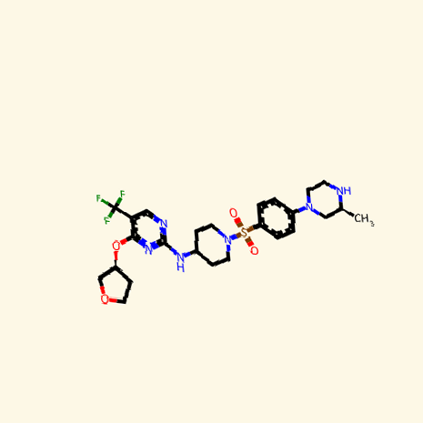 C[C@H]1CN(c2ccc(S(=O)(=O)N3CCC(Nc4ncc(C(F)(F)F)c(O[C@H]5CCOC5)n4)CC3)cc2)CCN1